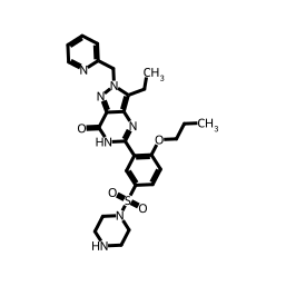 CCCOc1ccc(S(=O)(=O)N2CCNCC2)cc1-c1nc2c(CC)n(Cc3ccccn3)nc2c(=O)[nH]1